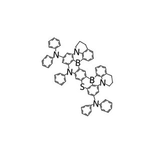 c1ccc(N(c2ccccc2)c2cc3c4c(c2)N2CCCc5cccc(c52)B4c2cc4c(cc2S3)N(c2ccccc2)c2cc(N(c3ccccc3)c3ccccc3)cc3c2B4c2cccc4c2N3CCC4)cc1